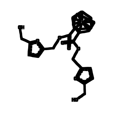 O=C(OCc1ccc(CO)o1)[C]12[CH]3[CH]4[CH]5[CH]1[Fe]45321678[CH]2[CH]1[CH]6[C]7(C(=O)OCc1ccc(CO)o1)[CH]28